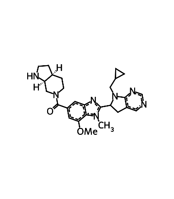 COc1cc(C(=O)N2CC[C@@H]3CCN[C@@H]3C2)cc2nc(C3Cc4cncnc4N3CC3CC3)n(C)c12